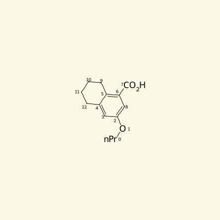 CCCOc1cc2c(c(C(=O)O)c1)CCCC2